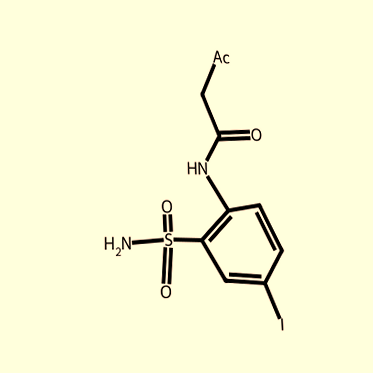 CC(=O)CC(=O)Nc1ccc(I)cc1S(N)(=O)=O